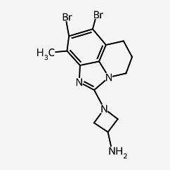 Cc1c(Br)c(Br)c2c3c1nc(N1CC(N)C1)n3CCC2